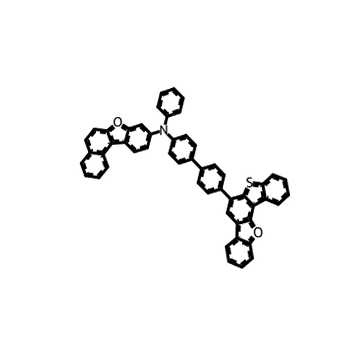 c1ccc(N(c2ccc(-c3ccc(-c4cc5c6ccccc6oc5c5c4sc4ccccc45)cc3)cc2)c2ccc3c(c2)oc2ccc4ccccc4c23)cc1